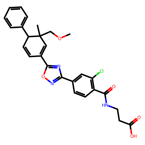 COCC1(C)C=C(c2nc(-c3ccc(C(=O)NCCC(=O)O)c(Cl)c3)no2)C=CC1c1ccccc1